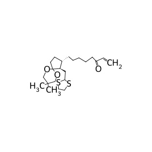 C=CC(=O)CCCCC[C@H]1CCC2(OCC(C)(C)CO2)[C@@H]1CC1SCCS1